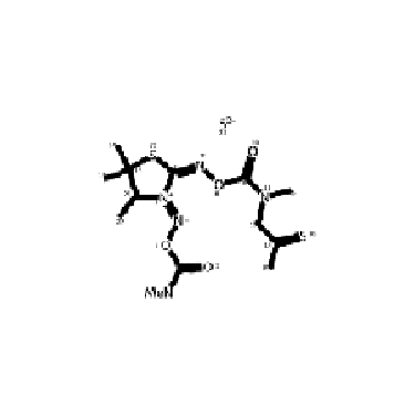 CNC(=O)ON=[N+]1C(=NOC(=O)N(C)CC(C)=S)SC(C)(C)C1C.[S-2]